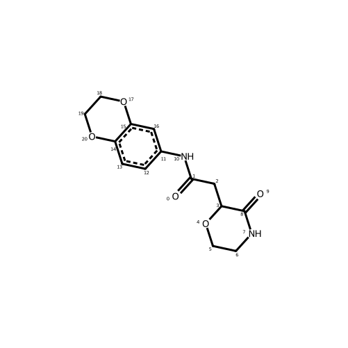 O=C(CC1OCCNC1=O)Nc1ccc2c(c1)OCCO2